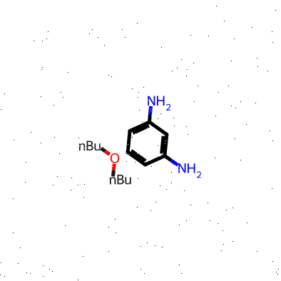 CCCCOCCCC.Nc1cccc(N)c1